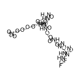 Cc1cccc(-c2nc(CNc3ccc(F)cc3F)[nH]c2-c2ccc3ncc(OCCNC(=O)OCc4ccc(NC(=O)C(CCCNC(N)=O)NC(=O)[C@@H](NC(=O)CCOCCOCCOCCOCCN5C(=O)C=CC5=O)C(C)C)cc4)nc3c2)n1